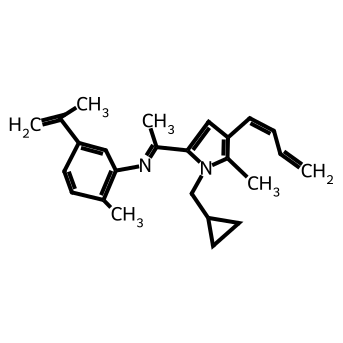 C=C/C=C\c1cc(/C(C)=N/c2cc(C(=C)C)ccc2C)n(CC2CC2)c1C